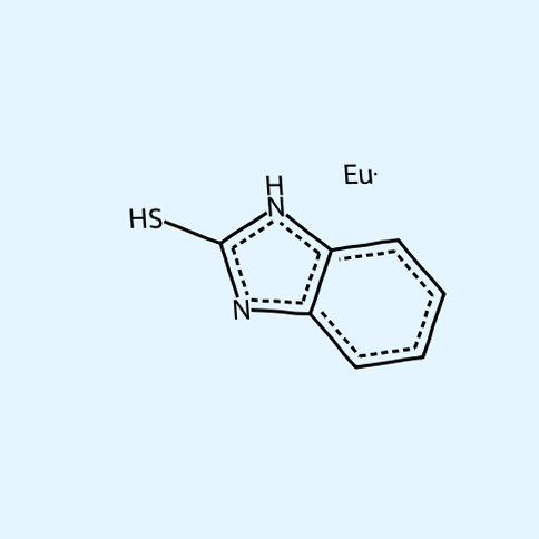 Sc1nc2ccccc2[nH]1.[Eu]